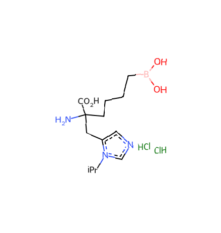 CC(C)n1cncc1CC(N)(CCCCB(O)O)C(=O)O.Cl.Cl